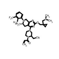 C=CC(=O)N1CCN(c2nc(OCC3(CN(C)C)CC3)nc3c2C[C@@H](C)N(c2cccc(C(F)(F)F)c2C)C3)CC1CC#N